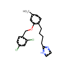 O=C(O)c1ccc(CCCCc2ncc[nH]2)c(OCc2ccc(Cl)cc2Cl)c1